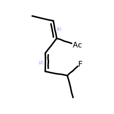 C/C=C(\C=C/C(C)F)C(C)=O